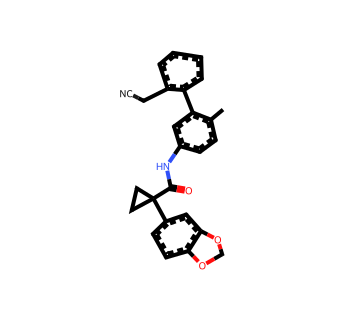 Cc1ccc(NC(=O)C2(c3ccc4c(c3)OCO4)CC2)cc1-c1ccccc1CC#N